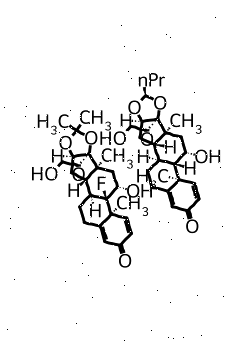 CC1(C)O[C@@H]2C[C@H]3[C@@H]4CCC5=CC(=O)C=C[C@]5(C)[C@@]4(F)[C@@H](O)C[C@]3(C)[C@]2(C(=O)CO)O1.CCC[C@@H]1O[C@@H]2C[C@H]3[C@@H]4CCC5=CC(=O)C=C[C@]5(C)[C@H]4[C@@H](O)C[C@]3(C)[C@]2(C(=O)CO)O1